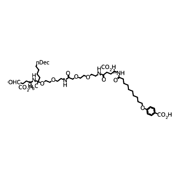 CCCCCCCCCCCCCCC(C)(N[C@@H](CC[C]=O)C(=O)O)OCCOCCNC(=O)COCCOCCNC(=O)CC[C@H](NC(=O)CCCCCCCCCOc1ccc(C(=O)O)cc1)C(=O)O